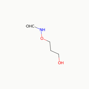 O=[C]NOCCCO